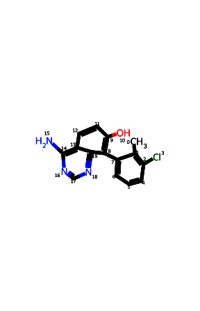 Cc1c(Cl)cccc1-c1c(O)ccc2c(N)ncnc12